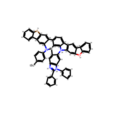 CC(C)(C)c1ccc(N2B3c4cc5nc(-c6ccccc6)n(-c6ccccc6)c5cc4-n4c5cc6oc7ccccc7c6cc5c5ccc(c3c54)-c3cc4sc5ccccc5c4cc32)cc1